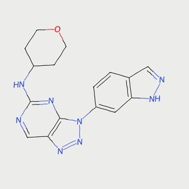 c1cc2cn[nH]c2cc1-n1nnc2cnc(NC3CCOCC3)nc21